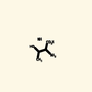 CC(O)C(N)C(=O)O.[KH]